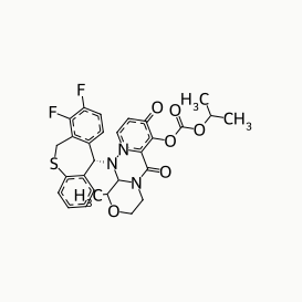 CC(C)OC(=O)Oc1c2n(ccc1=O)N([C@@H]1c3ccccc3SCc3c1ccc(F)c3F)C1C(C)OCCN1C2=O